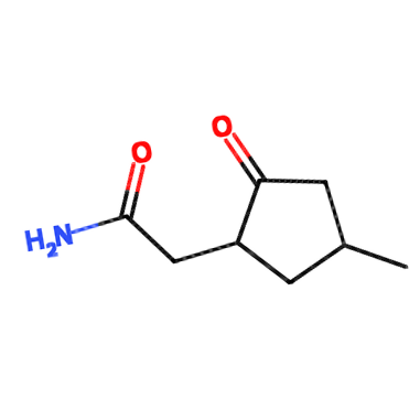 CC1CC(=O)C(CC(N)=O)C1